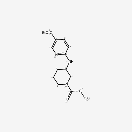 CCOC(=O)c1ccc(NC2CCCN(C(=O)OC(C)(C)C)C2)nc1